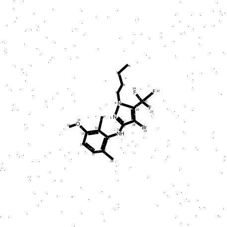 CCCCn1nc(Nc2c(C)ccc(OC)c2C)c(Br)c1C(F)(F)F